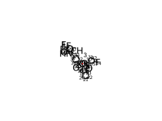 C[C@H](NS(=O)(=O)C(F)(F)F)c1ccc(S(=O)(=O)c2cc3ccccc3n2S(=O)(=O)c2cccc(F)c2)cc1